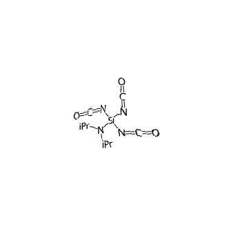 CC(C)N(C(C)C)[Si](N=C=O)(N=C=O)N=C=O